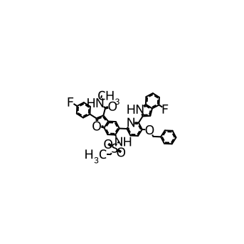 CCS(=O)(=O)Nc1cc2oc(-c3ccc(F)cc3)c(C(=O)NC)c2cc1-c1ccc(OCc2ccccc2)c(-c2cc3c(F)cccc3[nH]2)n1